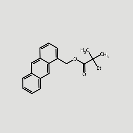 CCC(C)(C)C(=O)OCc1cccc2cc3ccccc3cc12